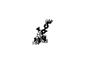 CN/C=C(/Nc1nc(Nc2cc(C)c(C3CCN(C(=O)CN(C)C)CC3)cc2OC2CC2)ncc1Cl)C(=N)S(=O)(=O)C(C)C